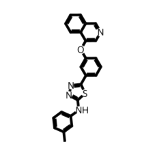 Cc1cccc(Nc2nnc(-c3cccc(Oc4cncc5ccccc45)c3)s2)c1